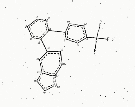 FC(F)(F)c1ccc(-c2ncccc2-c2ccc3nccn3c2)cc1